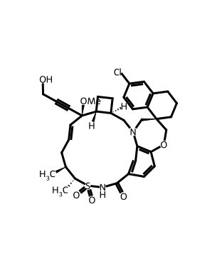 CO[C@]1(C#CCO)/C=C/C[C@H](C)[C@@H](C)S(=O)(=O)NC(=O)c2ccc3c(c2)N(C[C@@H]2CC[C@H]21)C[C@@]1(CCCc2cc(Cl)ccc21)CO3